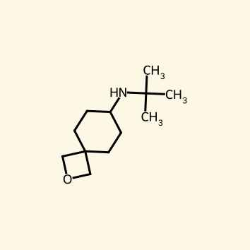 CC(C)(C)NC1CCC2(CC1)COC2